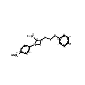 COc1ccc(N2CC(CCCc3ccccc3)C2C=O)cc1